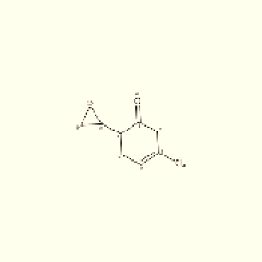 O=C1CC(Cl)=CCC1C1CC1